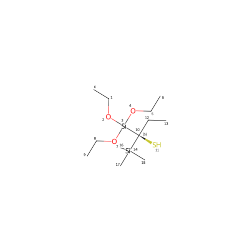 CCO[Si](OCC)(OCC)[C@](S)(CC)[Si](C)(C)C